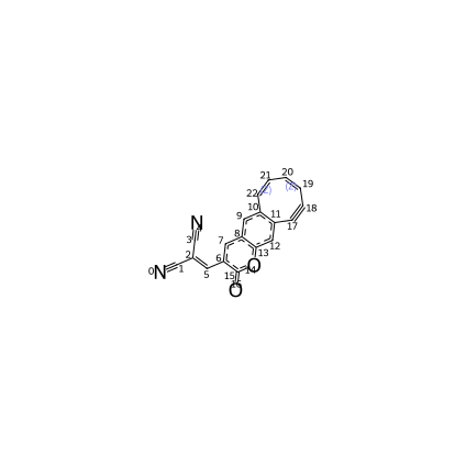 N#CC(C#N)=Cc1cc2cc3c(cc2oc1=O)C#C/C=C\C=C/3